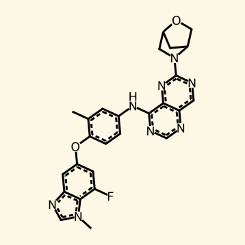 Cc1cc(Nc2ncnc3cnc(N4CC5CC4CO5)nc23)ccc1Oc1cc(F)c2c(c1)ncn2C